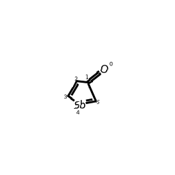 O=C1C=[CH][Sb]=[CH]1